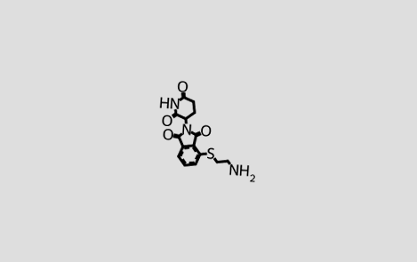 NCCSc1cccc2c1C(=O)N(C1CCC(=O)NC1=O)C2=O